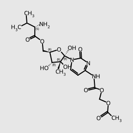 CC(=O)OCOC(=O)Nc1ccn([C@]2(O)O[C@H](COC(=O)[C@@H](N)C(C)C)[C@@H](O)[C@@]2(C)O)c(=O)n1